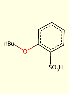 CCCCOc1ccccc1S(=O)(=O)O